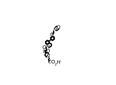 O=C(O)CCN1CCc2nc(C(=O)N3CCCc4c(-c5cccc(OCCN6CCOCC6)c5)cccc43)oc2C1